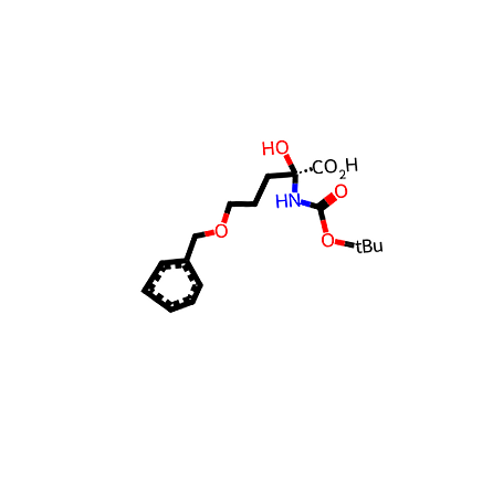 CC(C)(C)OC(=O)N[C@](O)(CCCOCc1ccccc1)C(=O)O